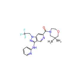 BC1(B)COCCN(C(=O)c2cc3c(cn2)c(Nc2ccccn2)nn3CC(F)(F)F)C1